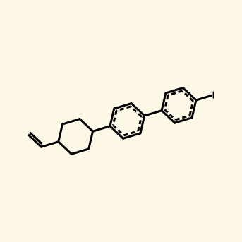 C=CC1CCC(c2ccc(-c3ccc(I)cc3)cc2)CC1